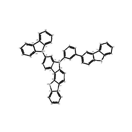 c1cc(-c2ccc3sc4ccccc4c3c2)cc(-n2c3cc(-n4c5ccccc5c5ccccc54)ccc3c3c4sc5ccccc5c4ccc32)c1